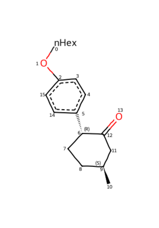 CCCCCCOc1ccc([C@H]2CC[C@H](C)CC2=O)cc1